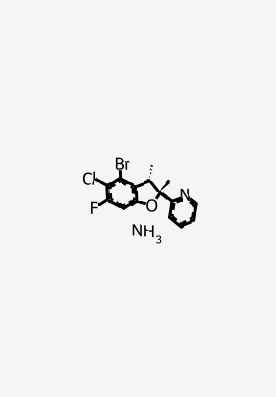 C[C@H]1c2c(cc(F)c(Cl)c2Br)O[C@@]1(C)c1ccccn1.N